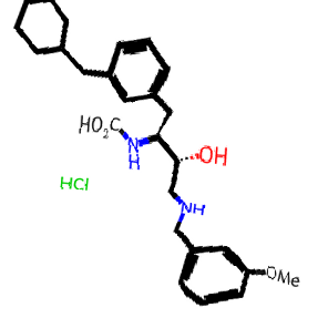 COc1cccc(CNC[C@@H](O)[C@H](Cc2cccc(CC3CCCCC3)c2)NC(=O)O)c1.Cl